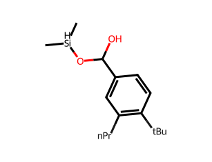 CCCc1cc(C(O)O[SiH](C)C)ccc1C(C)(C)C